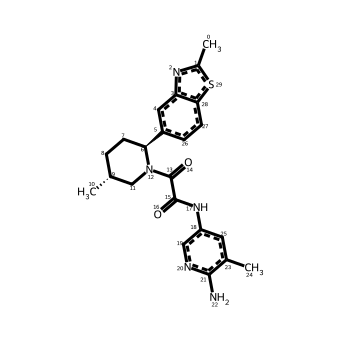 Cc1nc2cc([C@@H]3CC[C@@H](C)CN3C(=O)C(=O)Nc3cnc(N)c(C)c3)ccc2s1